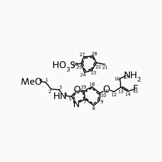 COCCCNc1nc2ccc(OC/C(=C/F)CN)cc2o1.Cc1ccc(S(=O)(=O)O)cc1